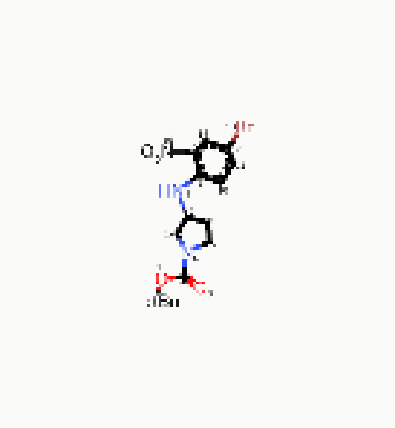 CC(C)(C)OC(=O)N1CC[C@H](Nc2ccc(Br)cc2[N+](=O)[O-])C1